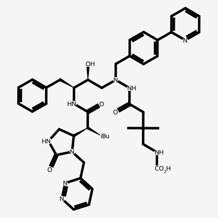 CC[C@H](C)[C@H](C(=O)N[C@@H](Cc1ccccc1)[C@@H](O)CN(Cc1ccc(-c2ccccn2)cc1)NC(=O)CC(C)(C)CNC(=O)O)C1CNC(=O)N1Cc1cccnn1